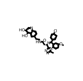 COc1ccc2c(c1)C(c1ccc(Cl)cc1)=N[C@@H](CC(=O)NCCc1ccc3ncc(O)c(O)c3c1)c1nnc(C)n1-2